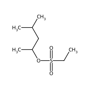 CCS(=O)(=O)OC(C)CC(C)C